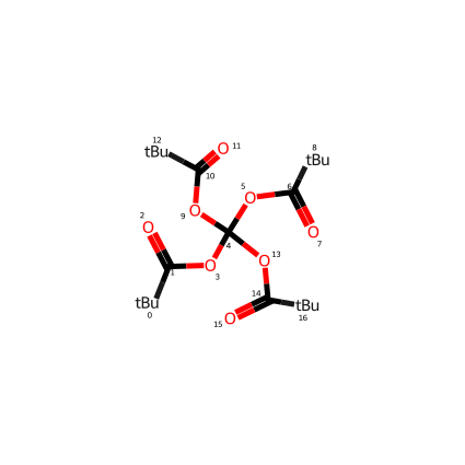 CC(C)(C)C(=O)OC(OC(=O)C(C)(C)C)(OC(=O)C(C)(C)C)OC(=O)C(C)(C)C